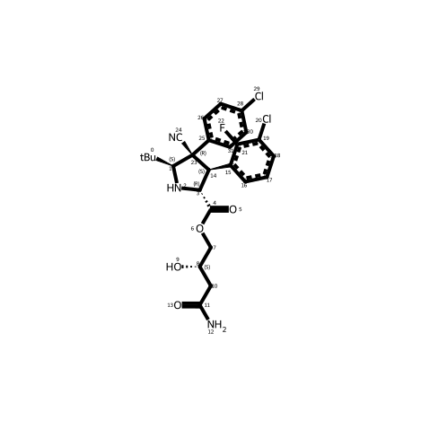 CC(C)(C)[C@@H]1N[C@@H](C(=O)OC[C@@H](O)CC(N)=O)[C@H](c2cccc(Cl)c2F)[C@@]1(C#N)c1ccc(Cl)cc1